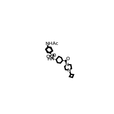 CC(=O)Nc1ccc(S(=O)(=O)N[C@H]2CC[C@H](C(=O)N3CCN(C4CCC4)CC3)CC2)cc1